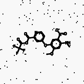 CNc1cc(OC)c(Oc2ccnc(C(=O)OC(=O)C(F)(F)F)c2)cc1[N+](=O)[O-]